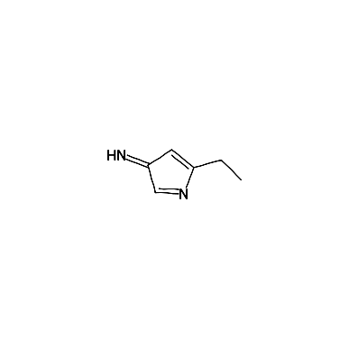 CCC1=CC(=N)C=N1